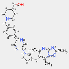 Cc1nc2nc(C)c(C[C@@H]3CCN(c4cnc(-c5ccc(CN6CCC(CO)CC6)cc5)cn4)C3)c(C)n2n1